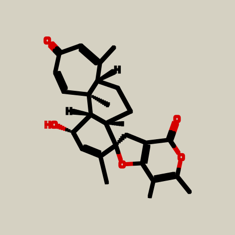 CC1=CC(=O)C=C[C@]2(C)[C@H]3[C@@H](O)C=C(C)[C@@]4(Cc5c(c(C)c(C)oc5=O)O4)[C@]3(C)CC[C@@H]12